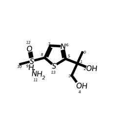 CC(O)(CO)c1ncc([SH](C)(N)=O)s1